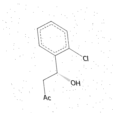 CC(=O)C[C@@H](O)c1ccccc1Cl